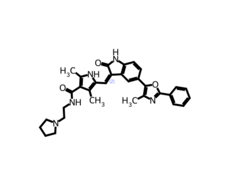 Cc1nc(-c2ccccc2)oc1-c1ccc2c(c1)/C(=C/c1[nH]c(C)c(C(=O)NCCN3CCCC3)c1C)C(=O)N2